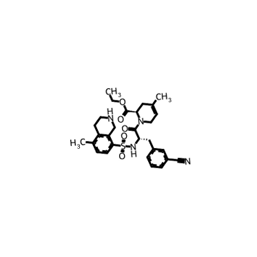 CCOC(=O)[C@H]1CC(C)=CCN1C(=O)[C@H](Cc1cccc(C#N)c1)NS(=O)(=O)c1ccc(C)c2c1CNCC2